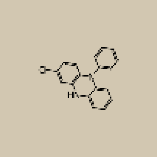 Clc1ccc2c(c1)Nc1ccccc1N2c1ccccc1